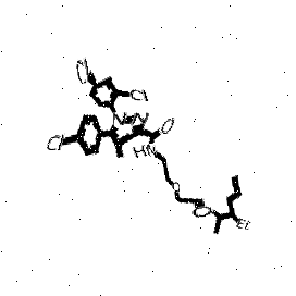 C=CCC(CC)C(C)OCCOCCNC(=O)c1nn(-c2ccc(Cl)cc2Cl)c(-c2ccc(Cl)cc2)c1C